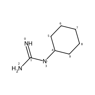 N=C(N)[N]C1CCCCC1